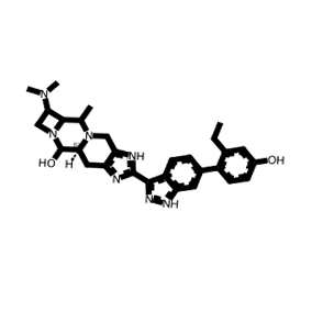 CCc1cc(O)ccc1-c1ccc2c(-c3nc4c([nH]3)CN3C(C)C5C(N(C)C)CN5C(O)[C@@H]3C4)n[nH]c2c1